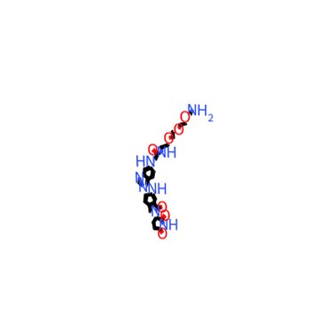 NCOCCOCCOCCNC(=O)CNc1ccc2c(Nc3ccc4c(c3)C(=O)N(C3CCC(=O)NC3=O)C4)ncnc2c1